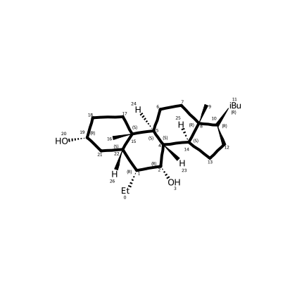 CC[C@H]1[C@@H](O)[C@@H]2[C@H](CC[C@]3(C)[C@@H]([C@H](C)CC)CC[C@@H]23)[C@@]2(C)CC[C@@H](O)C[C@@H]12